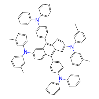 Cc1cccc(N(c2cccc(C)c2)c2ccc3c(-c4ccc(N(c5ccccc5)c5ccccc5)cc4)c4cc(N(c5cccc(C)c5)c5cccc(C)c5)ccc4c(-c4ccc(N(c5ccccc5)c5ccccc5)cc4)c3c2)c1